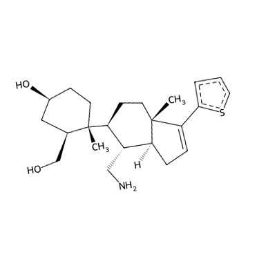 C[C@]1([C@H]2CC[C@]3(C)C(c4cccs4)=CC[C@H]3[C@@H]2CN)CC[C@H](O)C[C@@H]1CO